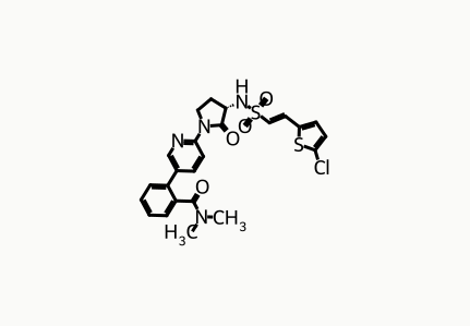 CN(C)C(=O)c1ccccc1-c1ccc(N2CC[C@H](NS(=O)(=O)/C=C/c3ccc(Cl)s3)C2=O)nc1